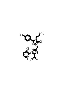 NC(=O)c1nc(Cn2nc(-c3ccc(Cl)cc3)n(CCC(F)(F)F)c2=O)nn1-c1ncccc1Cl